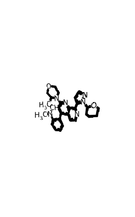 CC1COCCN1c1cc(-c2ccccc2N(C)C)c2ccnc(-c3ccnn3C3CCCCO3)c2n1